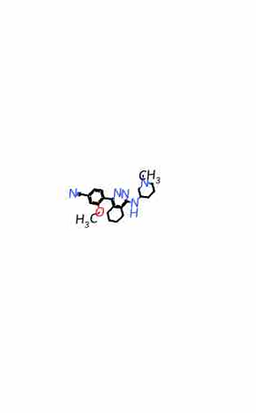 COc1cc(C#N)ccc1-c1nnc(NC2CCCN(C)C2)c2c1CCCC2